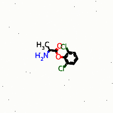 C[C@H](N)C(=O)Oc1c(Cl)cccc1Cl